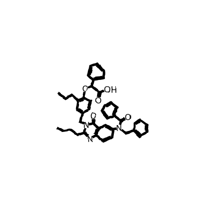 CCCCc1nc2ccc(N(Cc3ccccc3)C(=O)c3ccccc3)cc2c(=O)n1Cc1ccc(OC(C(=O)O)c2ccccc2)c(CCC)c1